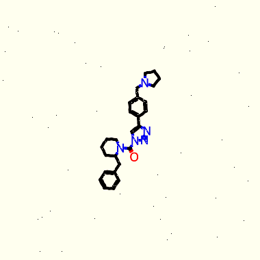 O=C(N1CCCCC1Cc1ccccc1)n1cc(-c2ccc(CN3CCCC3)cc2)nn1